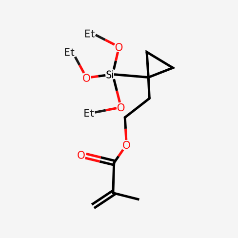 C=C(C)C(=O)OCCC1([Si](OCC)(OCC)OCC)CC1